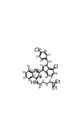 CCN(CC)CCCC(C)Nc1nc(C2=CC(Cc3ccc(Cl)cc3)c3c(Cl)cccc32)nc2c(C)cccc12